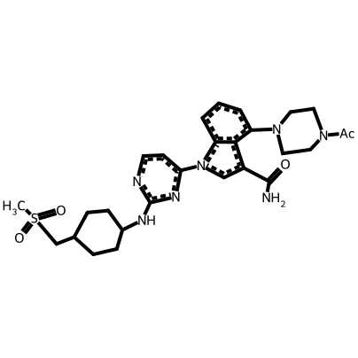 CC(=O)N1CCN(c2cccc3c2c(C(N)=O)cn3-c2ccnc(NC3CCC(CS(C)(=O)=O)CC3)n2)CC1